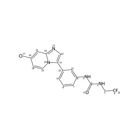 O=C(NCC(F)(F)F)Nc1cccc(-c2cnc3cc(Cl)ccn23)c1